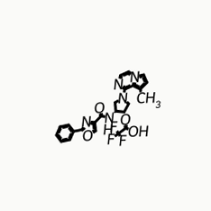 Cc1ccn2ccnc(N3CC[C@H](NC(=O)c4coc(-c5ccccc5)n4)C3)c12.O=C(O)C(F)(F)F